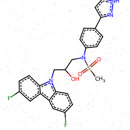 CS(=O)(=O)N(CC(O)Cn1c2ccc(F)cc2c2cc(F)ccc21)c1ccc(-c2cc[nH]n2)cc1